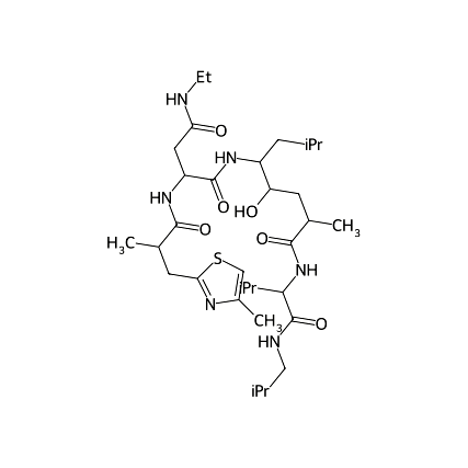 CCNC(=O)CC(NC(=O)C(C)Cc1nc(C)cs1)C(=O)NC(CC(C)C)C(O)CC(C)C(=O)NC(C(=O)NCC(C)C)C(C)C